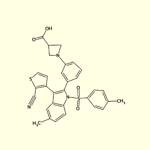 Cc1ccc(S(=O)(=O)n2c(-c3cccc(N4CC(C(=O)O)C4)c3)c(-c3ccsc3C#N)c3cc(C)ccc32)cc1